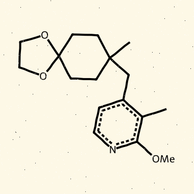 COc1nccc(CC2(C)CCC3(CC2)OCCO3)c1C